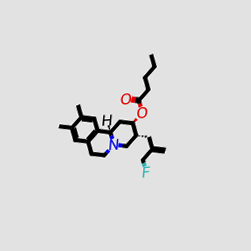 C=C(CF)C[C@@H]1CN2CCc3cc(C)c(C)cc3[C@H]2C[C@H]1OC(=O)CCCC